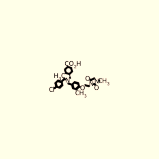 Cc1cc(CN(C[C@H]2CC[C@H](C(=O)O)CC2)C(C)c2ccc(Cl)cc2)ccc1OCCN1C(=O)CN(C)C1=O